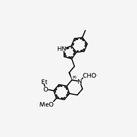 CCOc1cc2c(cc1OC)CCN([C]=O)[C@@H]2CCc1c[nH]c2cc(C)ccc12